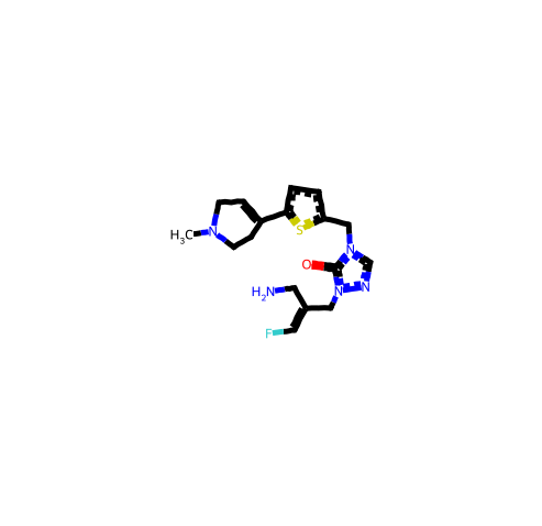 CN1CC=C(c2ccc(Cn3cnn(C/C(=C/F)CN)c3=O)s2)CC1